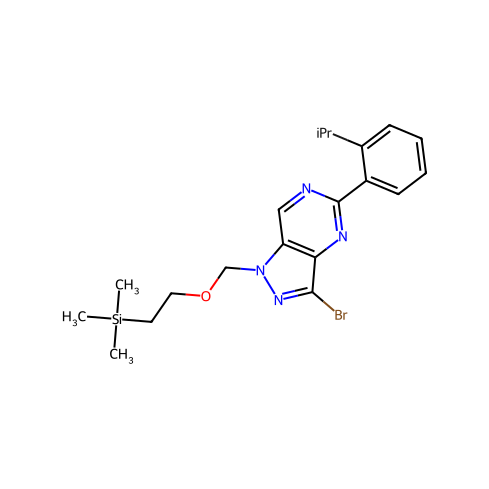 CC(C)c1ccccc1-c1ncc2c(n1)c(Br)nn2COCC[Si](C)(C)C